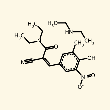 CCN(CC)C(=O)C(C#N)=Cc1cc(C)c(O)c([N+](=O)[O-])c1.CCNCC